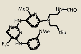 CNc1cccc(Nc2nc(Nc3ccc(N(CCNC=O)CCC(C)(C)C)nc3OC)ncc2C(F)(F)F)c1